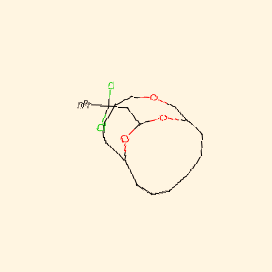 [CH2]CCC(Cl)(Cl)C[C]1OC2CCCCCCC(COCCCC2)O1